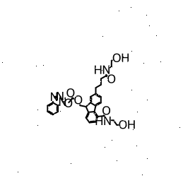 O=C(CCCc1ccc2c(c1)C(COC(=O)On1nnc3ccccc31)c1cccc(C(=O)NCCO)c1-2)NCCO